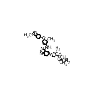 Cc1cc(Nc2ncnc3ccc(N4CCN(C(=O)OC(C)(C)C)[C@H](C)C4)cc23)ccc1Oc1ccc2c(c1)ncn2C